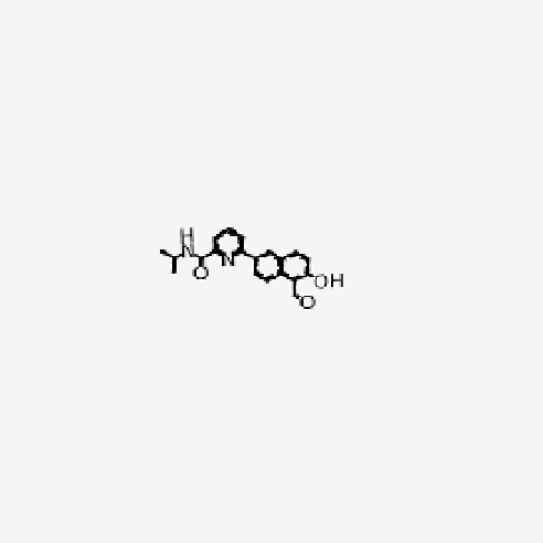 CC(C)NC(=O)c1cccc(-c2ccc3c(C=O)c(O)ccc3c2)n1